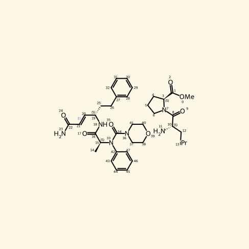 COC(=O)[C@@H]1CCCN1C(=O)[C@@H](N)CC(C)C.C[C@@H](C(=O)N[C@H](/C=C/C(N)=O)CCc1ccccc1)N(C(=O)N1CCOCC1)c1ccccc1